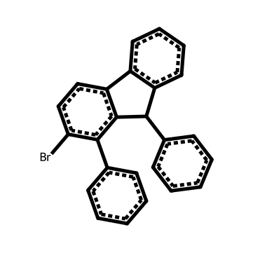 Brc1ccc2c(c1-c1ccccc1)C(c1ccccc1)c1ccccc1-2